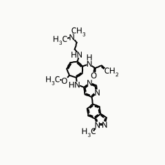 C=CC(=O)NC1=C(NCCN(C)C)C=CC(OC)C(Nc2cc(-c3ccc4c(cnn4C)c3)ncn2)=C1